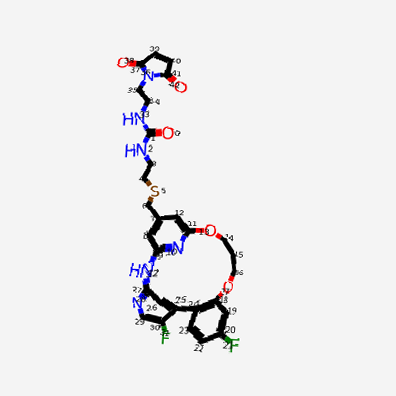 O=C(NCCSCc1cc2nc(c1)OCCCOc1cc(F)ccc1-c1cc(ncc1F)N2)NCCN1C(=O)C=CC1=O